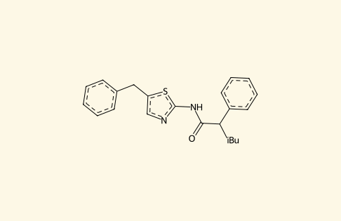 CCC(C)C(C(=O)Nc1ncc(Cc2ccccc2)s1)c1ccccc1